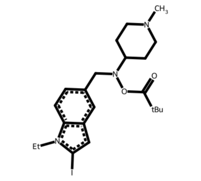 CCn1c(I)cc2cc(CN(OC(=O)C(C)(C)C)C3CCN(C)CC3)ccc21